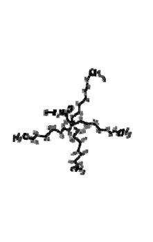 CCCCCCCCP(CCCCCCCC)(CCCCCCCC)(CCCCCCCC)CC(N)=O